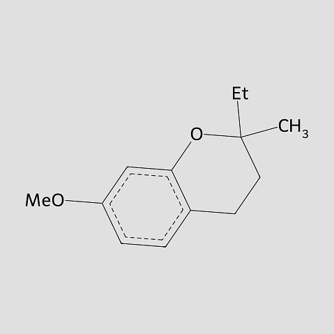 CCC1(C)CCc2ccc(OC)cc2O1